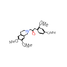 COc1ccc(CC(=O)CN2CCc3cc(OC)c(OC)cc3C2)c(OC)c1